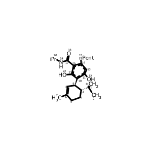 C=C(C)[C@@H]1CCC(C)=C[C@H]1c1c(O)cc(CCCCC)c(C(=O)NC(C)C)c1O